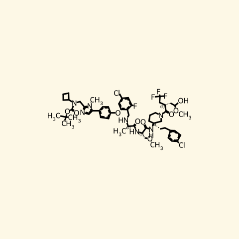 COC[C@H](NC(=O)[C@H](C)NCc1c(F)cc(Cl)cc1Oc1ccc(-c2cnc(CN(C(=O)OC(C)(C)C)C3CCC3)n2C)cc1)C(=O)N[C@@]1(CCc2ccc(Cl)cc2)CCCN(C(=O)[C@@H](CC(O)OC)CC(F)(F)F)C1